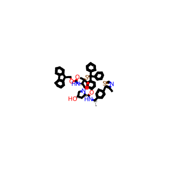 Cc1ncsc1-c1ccc([C@H](C)NC(=O)[C@H]2C[C@@H](O)CN2C(=O)[C@@H](NC(=O)OCC2c3ccccc3-c3ccccc32)C(C)(C)SC(c2ccccc2)(c2ccccc2)c2ccccc2)cc1